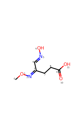 CON=C(C=NO)CCC(=O)O